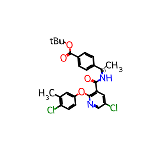 Cc1cc(Oc2ncc(Cl)cc2C(=O)N[C@@H](C)c2ccc(C(=O)OC(C)(C)C)cc2)ccc1Cl